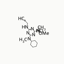 C#CCNc1nc(N(C)OC)nc(N(C)C2CCCCC2)n1.Cl